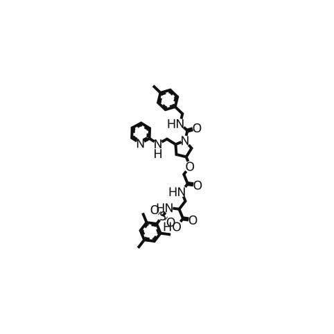 Cc1ccc(CNC(=O)N2CC(OCC(=O)NCC(NS(=O)(=O)c3c(C)cc(C)cc3C)C(=O)O)CC2CNc2ccccn2)cc1